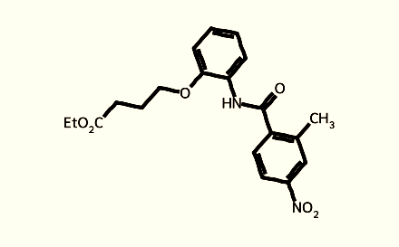 CCOC(=O)CCCOc1ccccc1NC(=O)c1ccc([N+](=O)[O-])cc1C